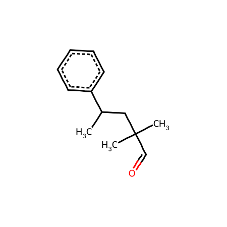 CC(CC(C)(C)C=O)c1ccccc1